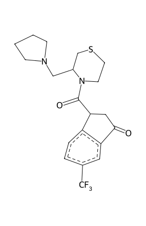 O=C1CC(C(=O)N2CCSCC2CN2CCCC2)c2ccc(C(F)(F)F)cc21